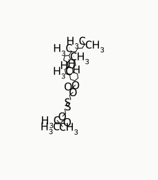 CC(C)CCC[C@@H](C)C1CC[C@H]2[C@@H]3CC=C4C[C@@H](OC(=O)OCCSSCCOC(=O)C(C)(C)C)CC[C@]4(C)[C@H]3CC[C@]12C